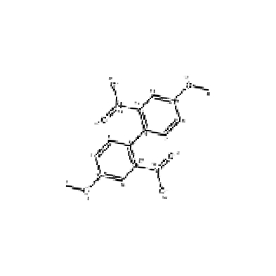 COc1ccc(-c2ccc(OC)cc2[N+](=O)[O-])c([N+](=O)[O-])c1